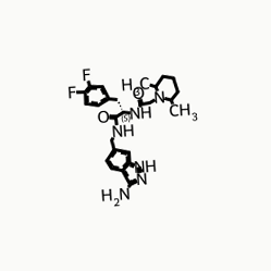 CC1CCCC(C)N1CC(=O)N[C@@H](Cc1ccc(F)c(F)c1)C(=O)NCc1ccc2c(N)n[nH]c2c1